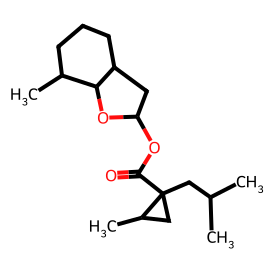 CC(C)CC1(C(=O)OC2CC3CCCC(C)C3O2)CC1C